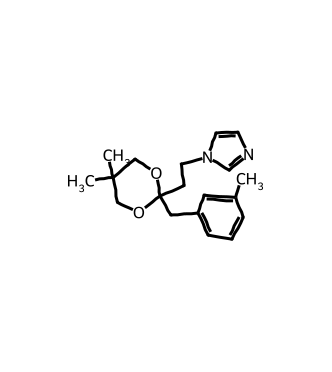 Cc1cccc(CC2(CCn3ccnc3)OCC(C)(C)CO2)c1